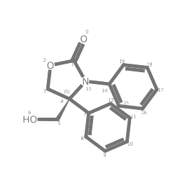 O=C1OC[C@@](CO)(c2ccccc2)N1c1ccccc1